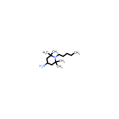 CCCCCN1C(C)(C)CC(N)CC1(C)C